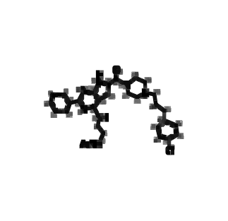 CC(=O)NCCNc1nc(-c2ccccc2)nc2[nH]c(C(=O)N3CCN(CCCc4ccc(Cl)cc4)CC3)cc12